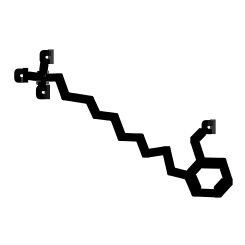 ClCc1ccccc1CCCCCCCCCC[Si](Cl)(Cl)Cl